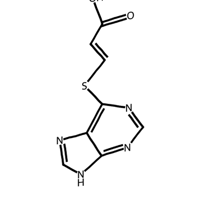 O=C(O)/C=C/Sc1ncnc2[nH]cnc12